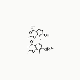 CCOc1c(C(=O)[O-])ccc(O)c1C.CCOc1c(C(=O)[O-])ccc(O)c1C.[Zn+2]